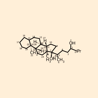 CC(C)C(O)CC[C@@H](C)[C@@]1(O)CC[C@H]2[C@@H]3CCC4CCCC[C@]4(C)[C@H]3CC[C@@]21C